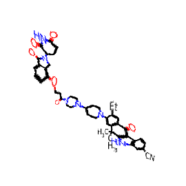 CCc1cc2c(cc1N1CCC(N3CCN(C(=O)CCOc4cccc5c4CN(C4CCC(=O)NC4=O)C5=O)CC3)CC1)C(C)(C)c1[nH]c3cc(C#N)ccc3c1C2=O